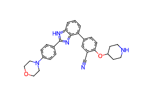 N#Cc1cc(-c2cccc3[nH]c(-c4ccc(N5CCOCC5)cc4)nc23)ccc1OC1CCNCC1